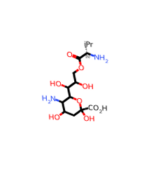 CC(C)[C@H](N)C(=O)OCC(O)C(O)C1OC(O)(C(=O)O)CC(O)C1N